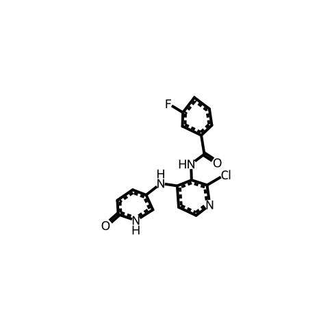 O=C(Nc1c(Nc2ccc(=O)[nH]c2)ccnc1Cl)c1cccc(F)c1